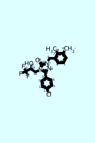 [CH2]c1cccc(Cn2nc(-c3ccc(Cl)cc3)n(C[C@H](O)C(F)(F)F)c2=O)c1C